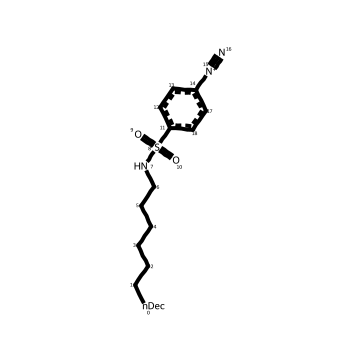 CCCCCCCCCCCCCCCCNS(=O)(=O)c1ccc([N+]#N)cc1